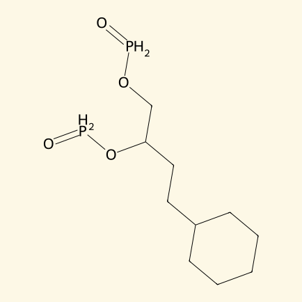 O=[PH2]OCC(CCC1CCCCC1)O[PH2]=O